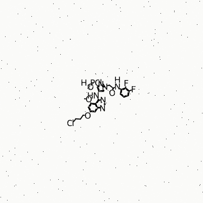 COc1cc(OCCCCl)cc2ncnc(Nc3cnn(CC(=O)Nc4cccc(F)c4F)c3)c12.O=[PH2]Cl